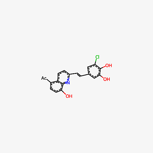 CC(=O)c1ccc(O)c2nc(C=Cc3cc(O)c(O)c(Cl)c3)ccc12